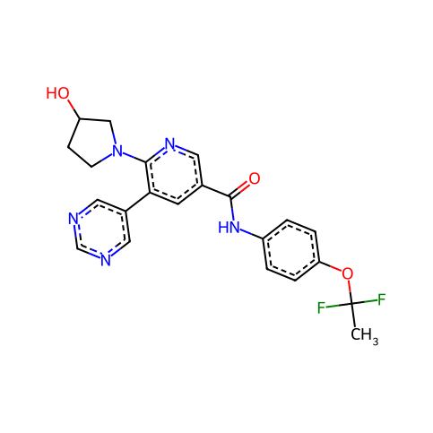 CC(F)(F)Oc1ccc(NC(=O)c2cnc(N3CCC(O)C3)c(-c3cncnc3)c2)cc1